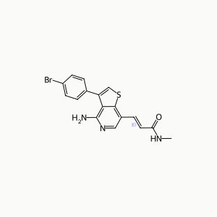 CNC(=O)/C=C/c1cnc(N)c2c(-c3ccc(Br)cc3)csc12